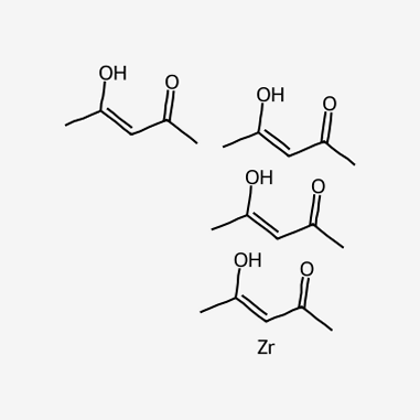 CC(=O)/C=C(/C)O.CC(=O)/C=C(/C)O.CC(=O)/C=C(/C)O.CC(=O)/C=C(/C)O.[Zr]